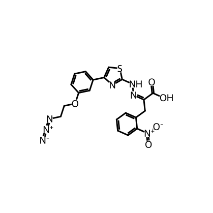 [N-]=[N+]=NCCOc1cccc(-c2csc(N/N=C(/Cc3ccccc3[N+](=O)[O-])C(=O)O)n2)c1